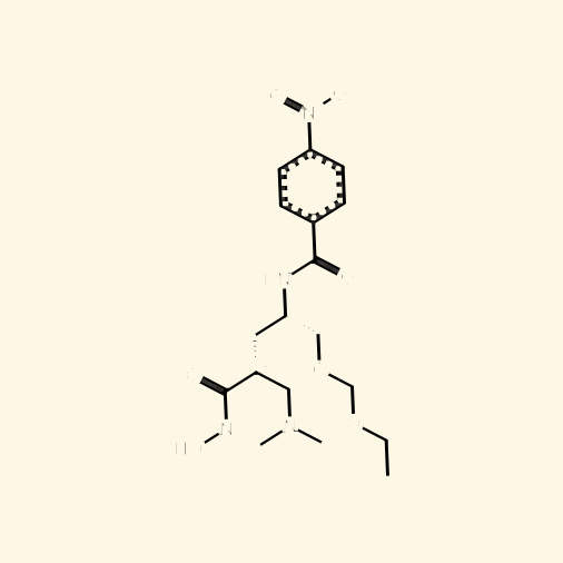 CCOCOC[C@H](C[C@H](CN(C)C)C(=O)NO)NC(=O)c1ccc([N+](=O)[O-])cc1